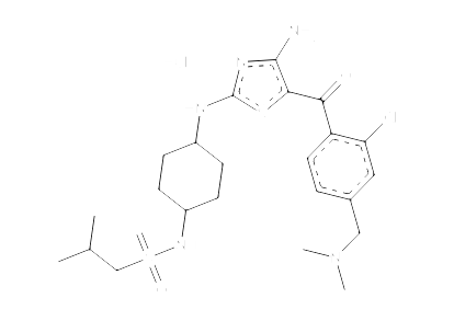 CC(C)CS(=O)(=O)NC1CCC(Nc2nc(N)c(C(=O)c3ccc(CN(C)C)cc3Cl)s2)CC1.Cl